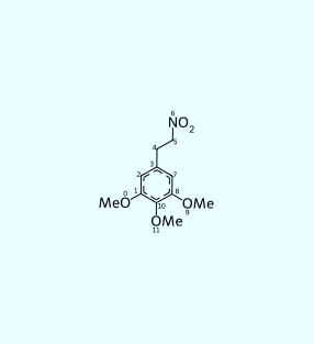 COc1cc(CC[N+](=O)[O-])cc(OC)c1OC